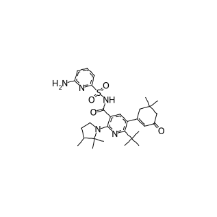 CC1CCN(c2nc(C(C)(C)C)c(C3=CC(=O)CC(C)(C)C3)cc2C(=O)NS(=O)(=O)c2cccc(N)n2)C1(C)C